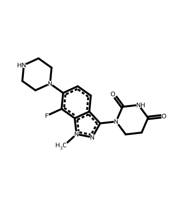 Cn1nc(N2CCC(=O)NC2=O)c2ccc(N3CCNCC3)c(F)c21